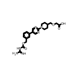 N=C(N)NC(=O)OCc1cccc(-c2cnc(N3CCC(COCC(=O)O)CC3)nc2)c1